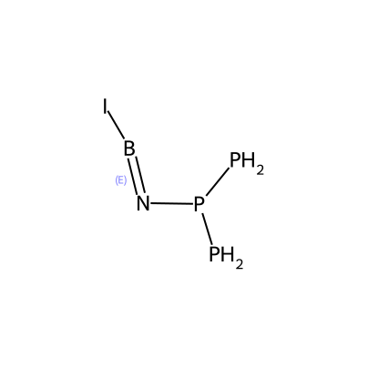 PP(P)/N=B/I